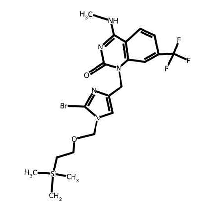 CNc1nc(=O)n(Cc2cn(COCC[Si](C)(C)C)c(Br)n2)c2cc(C(F)(F)F)ccc12